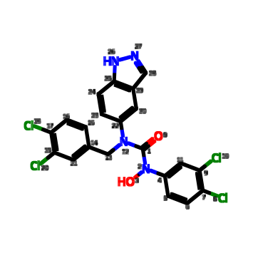 O=C(N(O)c1ccc(Cl)c(Cl)c1)N(Cc1ccc(Cl)c(Cl)c1)c1ccc2[nH]ncc2c1